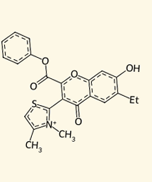 CCc1cc2c(=O)c(-c3scc(C)[n+]3C)c(C(=O)Oc3ccccc3)oc2cc1O